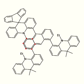 CCN1c2ccccc2C(C)(C)c2cccc(-c3cccc4c(-c5cccc6c5N(c5ccccc5)c5ccccc5C65c6ccccc6-c6ccccc65)c5cccc(-c6cccc7c6N(CC)c6ccccc6C7(C)C)c5cc34)c21